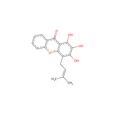 CC(C)=CCc1c(O)c(O)c(O)c2c(=O)c3ccccc3oc12